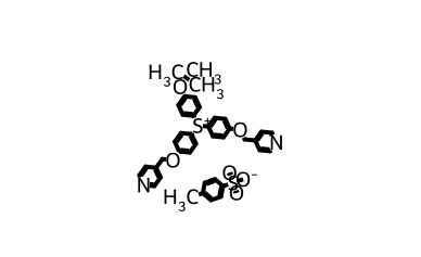 CC(C)(C)Oc1ccc([S+](c2ccc(OCc3ccncc3)cc2)c2ccc(OCc3ccncc3)cc2)cc1.Cc1ccc(S(=O)(=O)[O-])cc1